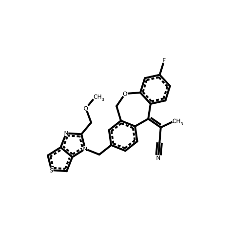 COCc1nc2cscc2n1Cc1ccc2c(c1)COc1cc(F)ccc1/C2=C(\C)C#N